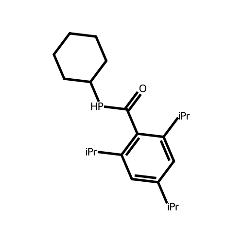 CC(C)c1cc(C(C)C)c(C(=O)PC2CCCCC2)c(C(C)C)c1